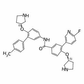 Cc1ccc(-c2cc(NC(=O)c3ccc(O[C@H]4CCNC4)c(-c4ccc(F)nc4)c3)ccc2O[C@H]2CCNC2)cc1